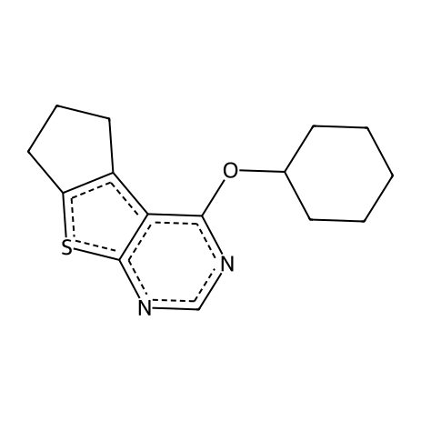 c1nc(OC2CCCCC2)c2c3c(sc2n1)CCC3